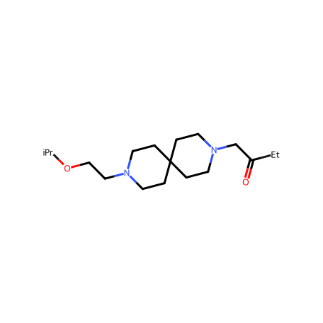 CCC(=O)CN1CCC2(CCN(CCOC(C)C)CC2)CC1